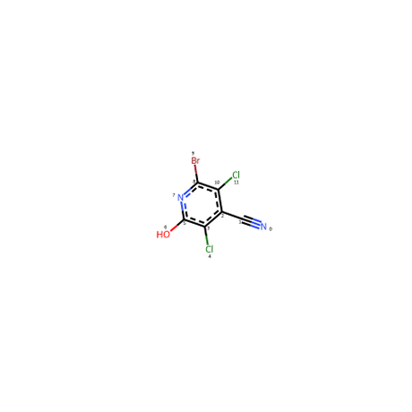 N#Cc1c(Cl)c(O)nc(Br)c1Cl